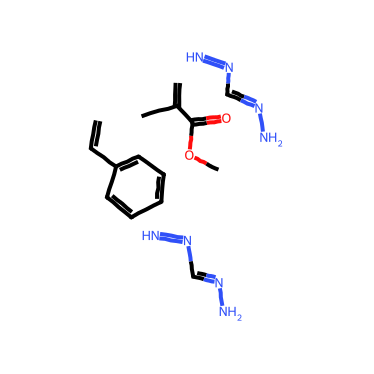 C=C(C)C(=O)OC.C=Cc1ccccc1.N=NC=NN.N=NC=NN